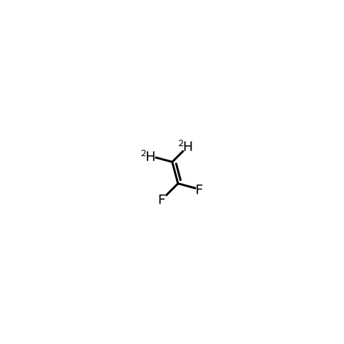 [2H]C([2H])=C(F)F